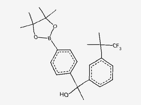 CC(O)(c1ccc(B2OC(C)(C)C(C)(C)O2)cc1)c1cccc(C(C)(C)C(F)(F)F)c1